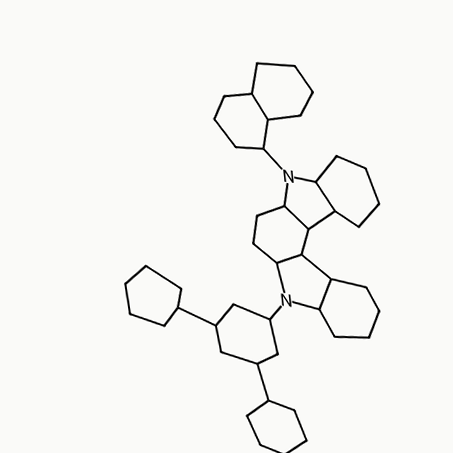 C1CCC(C2CC(C3CCCCC3)CC(N3C4CCCCC4C4C5C6CCCCC6N(C6CCCC7CCCCC76)C5CCC43)C2)CC1